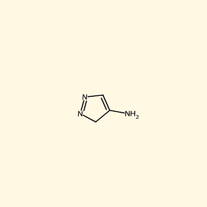 NC1=CN=NC1